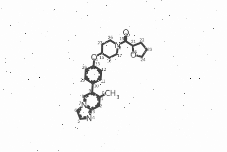 Cc1cc2nccn2cc1-c1ccc(OC2CCN(C(=O)C3CCCO3)CC2)cc1